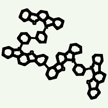 c1cc(-c2cccc(-n3c4ccccc4c4ccc5c6cc(-c7cccc8oc9c(ccc%10c%11ccccc%11n(-c%11cccc(-n%12c%13ccccc%13c%13ccc%14c%15ccccc%15oc%14c%13%12)c%11)c%109)c78)ccc6oc5c43)c2)cc(-n2c3ccccc3c3ccc4c5ccccc5oc4c32)c1